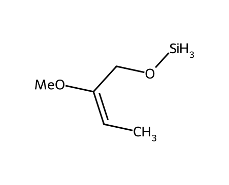 CC=C(CO[SiH3])OC